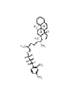 CC(CCC[C@@H](C)[C@H]1CC[C@H]2[C@@H]3CCC4CCCC[C@]4(C)[C@H]3CC[C@]12C)COC(F)(F)C(F)(F)C(F)(F)c1ccc(N)cc1N